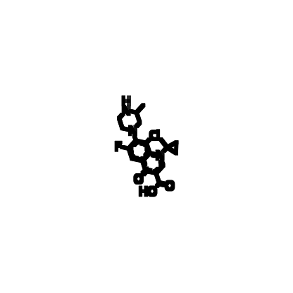 CC1CN(c2c(F)cc3c(=O)c(C(=O)O)cn(C4(C)CC4)c3c2Cl)CCN1